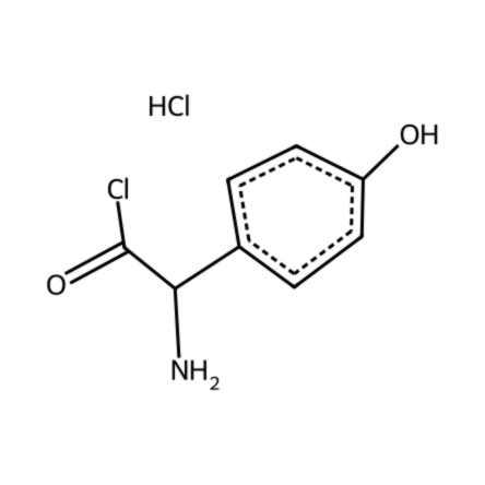 Cl.NC(C(=O)Cl)c1ccc(O)cc1